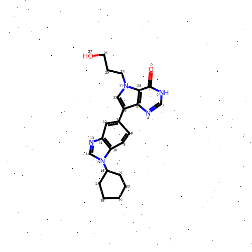 O=c1[nH]cnc2c(-c3ccc4c(c3)ncn4C3CCCCC3)cn(CCCO)c12